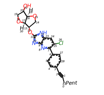 CCCCCC#Cc1ccc(-c2nc3nc(O[C@@H]4CO[C@H]5[C@@H]4OC[C@H]5O)[nH]c3cc2Cl)cc1